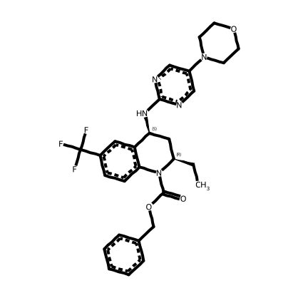 CC[C@@H]1C[C@H](Nc2ncc(N3CCOCC3)cn2)c2cc(C(F)(F)F)ccc2N1C(=O)OCc1ccccc1